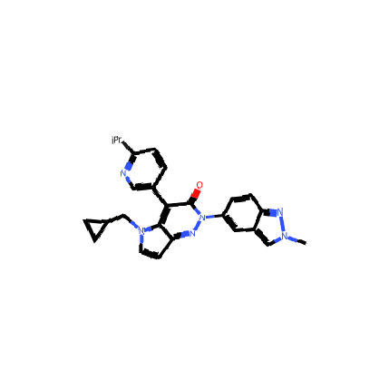 CC(C)c1ccc(-c2c(=O)n(-c3ccc4nn(C)cc4c3)nc3ccn(CC4CC4)c23)cn1